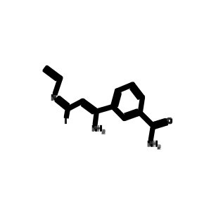 C=C/N=C(I)\C=C(/N)c1cccc(C(N)=O)c1